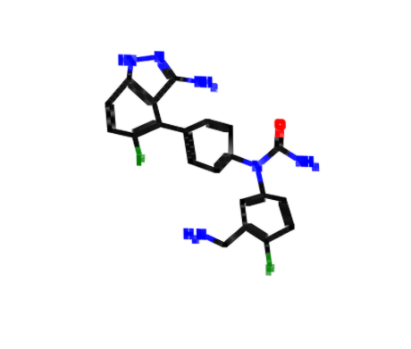 NCc1cc(N(C(N)=O)c2ccc(-c3c(F)ccc4[nH]nc(N)c34)cc2)ccc1F